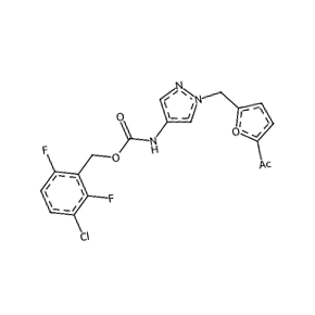 CC(=O)c1ccc(Cn2cc(NC(=O)OCc3c(F)ccc(Cl)c3F)cn2)o1